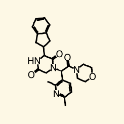 Cc1ccc([C@H](C(=O)N2CCOCC2)N2CC(=O)NC(C3Cc4ccccc4C3)C2=O)c(C)n1